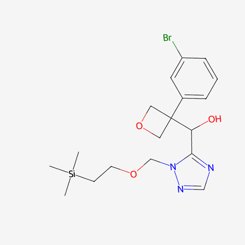 C[Si](C)(C)CCOCn1ncnc1C(O)C1(c2cccc(Br)c2)COC1